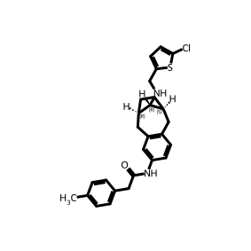 Cc1ccc(CC(=O)Nc2ccc3c(c2)C[C@H]2CC[C@@H](C3)[C@H]2NCc2ccc(Cl)s2)cc1